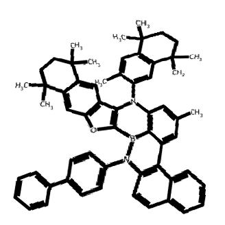 Cc1cc2c3c(c1)N(c1cc4c(cc1C)C(C)(C)CCC4(C)C)c1c(oc4cc5c(cc14)C(C)(C)CCC5(C)C)B3N(c1ccc(-c3ccccc3)cc1)c1ccc3ccccc3c1-2